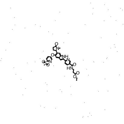 CCOC(=O)CCNC(=O)c1ccc(-c2cc3cc(Oc4ccc(S(C)(=O)=O)nc4)c(C4CCC(=O)N4C)cc3[nH]2)nc1